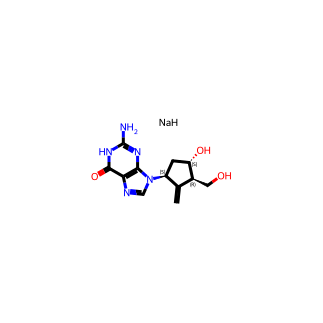 C=C1[C@H](CO)[C@@H](O)C[C@@H]1n1cnc2c(=O)[nH]c(N)nc21.[NaH]